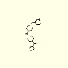 CON=C(c1cn[nH]c1)C1CCN(C(=O)C2CCN(Cc3ccnc(N)c3)CC2)CC1